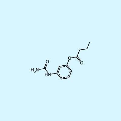 CCCC(=O)Oc1cccc(NC(N)=O)c1